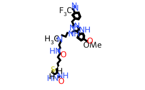 COC(=O)c1ccc2c(c1)[nH]c1nc(Cc3cccc(C4(C(F)(F)F)N=N4)c3)nc(NCCCN(C)CCCNC(=O)CCCC[C@@H]3SC[C@@H]4NC(=O)N[C@@H]43)c12